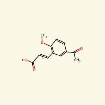 COc1ccc(C(C)=O)cc1/C=C/C(=O)O